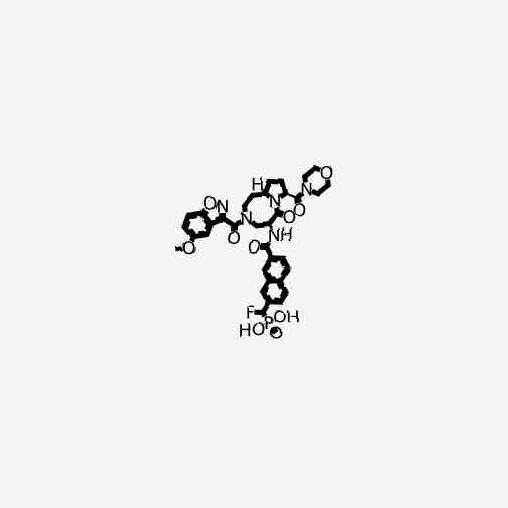 COc1ccc2onc(C(=O)N3CC[C@H]4CC[C@@H](C(=O)N5CCOCC5)N4C(=O)[C@@H](NC(=O)c4ccc5ccc(C(F)P(=O)(O)O)cc5c4)C3)c2c1